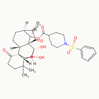 C=C1C(=O)[C@]23[C@H](OC(=O)C4CCN(S(=O)(=O)c5ccccc5)CC4)[C@H]1CC[C@H]2[C@@]12CO[C@@]3(O)[C@@H](O)[C@@H]1C(C)(C)CCC2=O